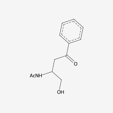 CC(=O)NC(CO)CC(=O)c1ccccc1